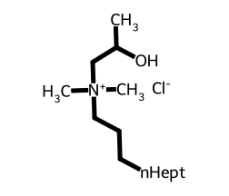 CCCCCCCCCC[N+](C)(C)CC(C)O.[Cl-]